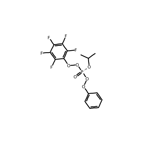 CC(C)O[P@@](=O)(OOc1ccccc1)OOc1c(F)c(F)c(F)c(F)c1F